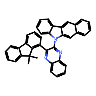 CC1(C)c2ccccc2-c2cccc(-c3nc4ccccc4nc3-n3c4ccccc4c4cc5ccccc5cc43)c21